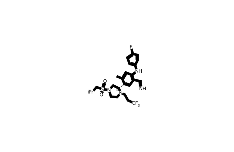 Cc1cc(Nc2ccc(F)cc2)c(C=N)cc1[C@H]1CN(S(=O)(=O)CC(C)C)CCN1CCC(F)(F)F